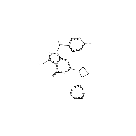 C[C@@H](c1ccc(C(F)(F)F)nc1)n1nc(C#N)c2c(=O)[nH]c([C@H]3CC[C@@H]3c3ncccn3)nc21